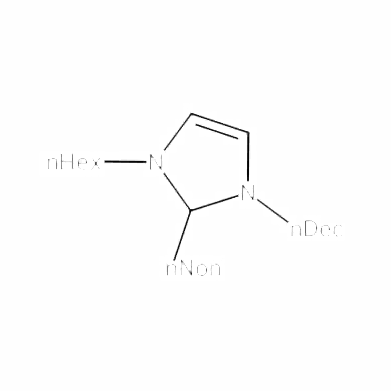 CCCCCCCCCCN1C=CN(CCCCCC)C1CCCCCCCCC